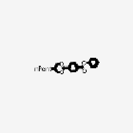 CCCCCC1COC(c2ccc(C(=O)Oc3ccccc3)cc2)OC1